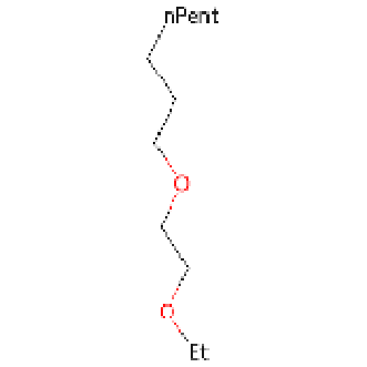 [CH2]COCCOCCCCCCCC